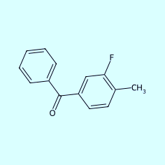 Cc1ccc(C(=O)c2ccccc2)cc1F